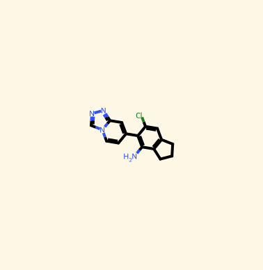 Nc1c2c(cc(Cl)c1-c1ccn3cnnc3c1)CCC2